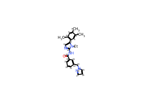 CCn1c(-c2cc(C)c(C)cc2C)cnc1NC(=O)c1cccc(Cn2cccn2)c1